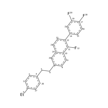 CCc1ccc(CCc2ccc3c(F)c(-c4ccc(F)c(F)c4)ccc3c2)cc1